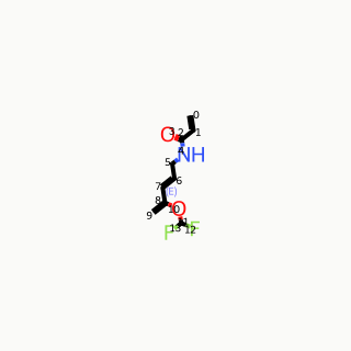 C=CC(=O)NC/C=C/C(=C)OC(F)F